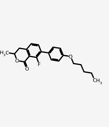 CCCCCOc1ccc(-c2ccc3c(c2F)C(=O)OC(C)C3)cc1